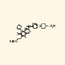 CCCCOC=Cc1c(C)c2cnc(Nc3ccc(N4CCN(C(=O)O)CC4)cn3)nc2n(C2CCCC2)c1=O